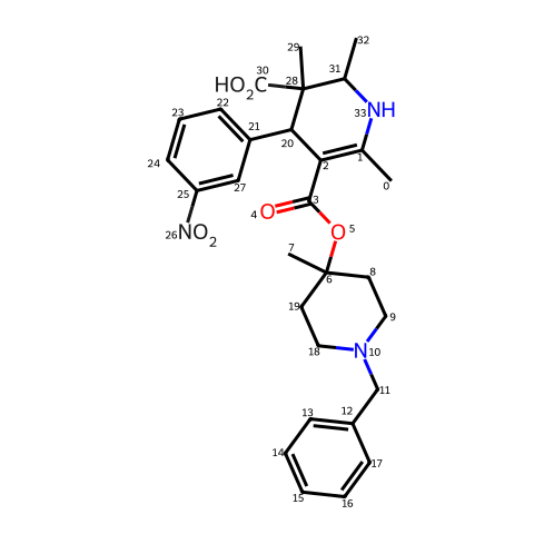 CC1=C(C(=O)OC2(C)CCN(Cc3ccccc3)CC2)C(c2cccc([N+](=O)[O-])c2)C(C)(C(=O)O)C(C)N1